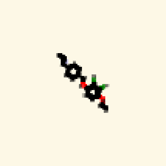 C/C=C/[C@H]1CC[C@H](COc2ccc(OCC)c(F)c2F)CC1